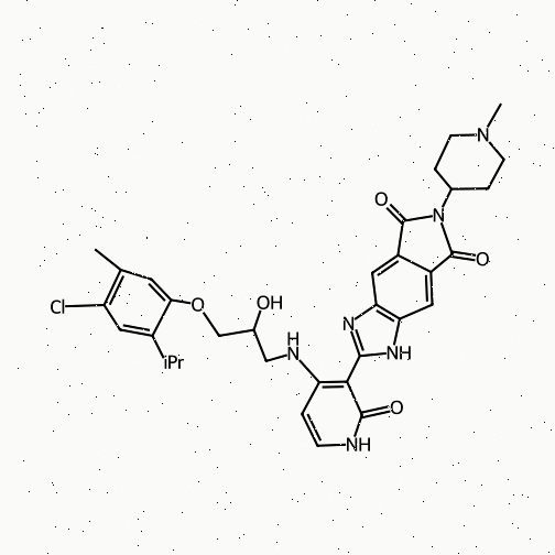 Cc1cc(OCC(O)CNc2cc[nH]c(=O)c2-c2nc3cc4c(cc3[nH]2)C(=O)N(C2CCN(C)CC2)C4=O)c(C(C)C)cc1Cl